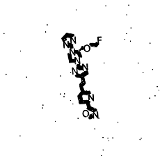 FCCOC[C@H]1CN(c2ncc(/C=C/c3ccc(-c4cnco4)nc3)cn2)CCN1c1ncccn1